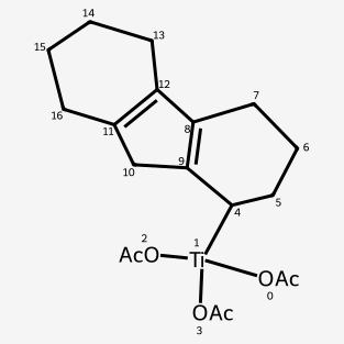 CC(=O)[O][Ti]([O]C(C)=O)([O]C(C)=O)[CH]1CCCC2=C1CC1=C2CCCC1